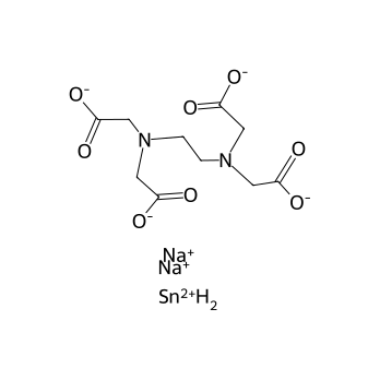 O=C([O-])CN(CCN(CC(=O)[O-])CC(=O)[O-])CC(=O)[O-].[Na+].[Na+].[SnH2+2]